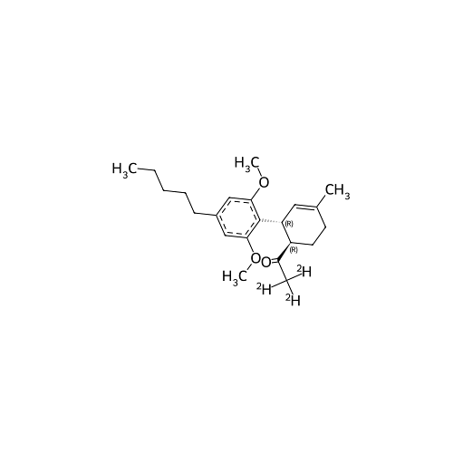 [2H]C([2H])([2H])C(=O)[C@@H]1CCC(C)=C[C@H]1c1c(OC)cc(CCCCC)cc1OC